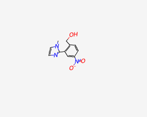 Cn1ccnc1-c1cc([N+](=O)[O-])ccc1CO